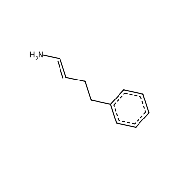 N/C=C/CCc1ccccc1